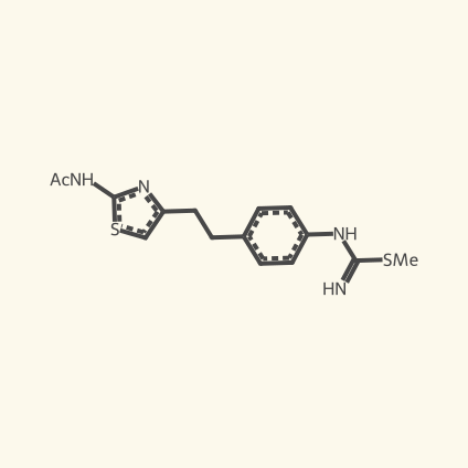 CSC(=N)Nc1ccc(CCc2csc(NC(C)=O)n2)cc1